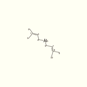 CC(C)=C[CH2][Al][CH2]C=C(C)C